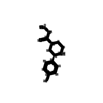 CC(C)(C)OC(=O)N1CCN[C@H](c2ccc(F)cc2)C1